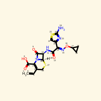 C=CC1=C(C(=O)O)N2C(=O)[C@@H](NC(=O)/C(=N/OC3CC3)c3csc(N)n3)[C@H]2SC1